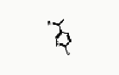 CC(Br)c1ccc(Br)nc1